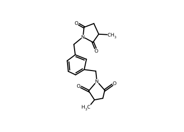 CC1CC(=O)N(Cc2cccc(CN3C(=O)CC(C)C3=O)c2)C1=O